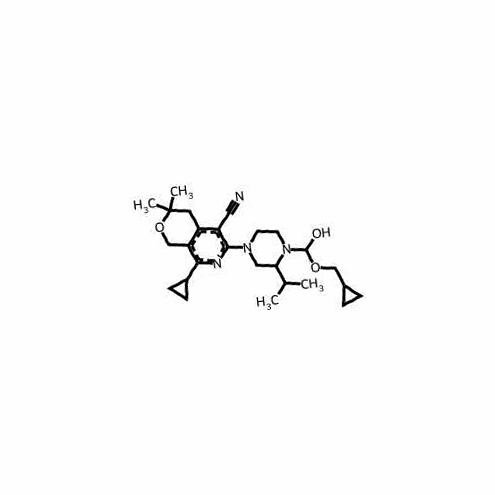 CC(C)C1CN(c2nc(C3CC3)c3c(c2C#N)CC(C)(C)OC3)CCN1C(O)OCC1CC1